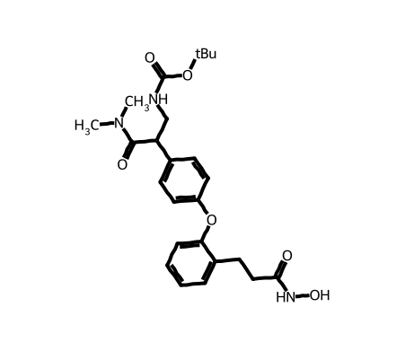 CN(C)C(=O)C(CNC(=O)OC(C)(C)C)c1ccc(Oc2ccccc2CCC(=O)NO)cc1